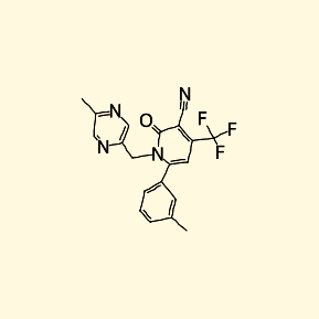 Cc1cccc(-c2cc(C(F)(F)F)c(C#N)c(=O)n2Cc2cnc(C)cn2)c1